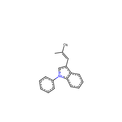 C/C(C#N)=C\c1cn(-c2ccccc2)c2ccccc12